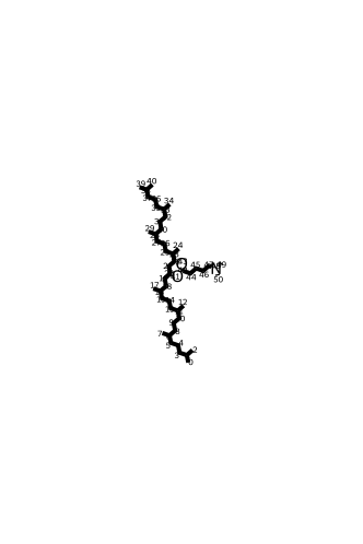 CC(C)CCCC(C)CCCC(C)CCCC(C)CCC(CCC(C)CCCC(C)CCCC(C)CCCC(C)C)OC(=O)CCCCN(C)C